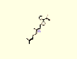 C=C(C)C(=O)OC/C=C(\C)CCC=C(C)C